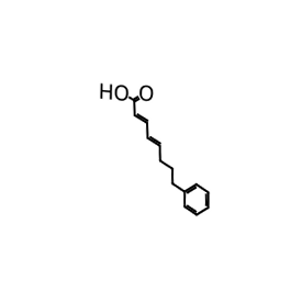 O=C(O)/C=C/C=C/CCCc1ccccc1